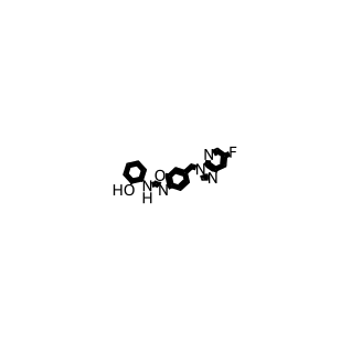 O[C@@H]1CCCC[C@H]1Nc1nc2ccc(Cn3cnc4cc(F)cnc43)cc2o1